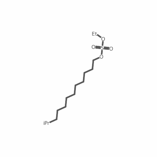 CCOS(=O)(=O)OCCCCCCCCCCC(C)C